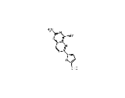 CCCc1nc(N)nc2ccc(-c3ccc(C=O)o3)nc12